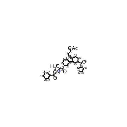 CC(=O)OCCn1c2ccc(C(=O)/C(C)=N/OC(=O)c3ccccc3)cc2c2cc(C(=O)c3cccs3)ccc21